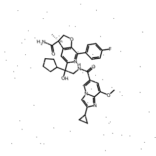 COc1cc(C(=O)NCC(O)(c2cc3c(c(-c4ccc(F)cc4)n2)OC[C@]3(C)C(N)=O)C2CCCC2)cn2cc(C3CC3)nc12